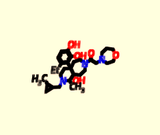 CCc1ccc(O)c(O)c1C12CCN(C(=O)CN3CCCOCC3)CCC1(O)C(C)N(CC1CC1C)CC2